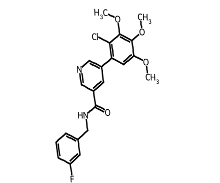 COc1cc(-c2cncc(C(=O)NCc3cccc(F)c3)c2)c(Cl)c(OC)c1OC